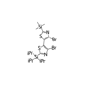 CC(C)[Si](c1nc(Br)c(-c2sc([Si](C)(C)C)nc2Br)s1)(C(C)C)C(C)C